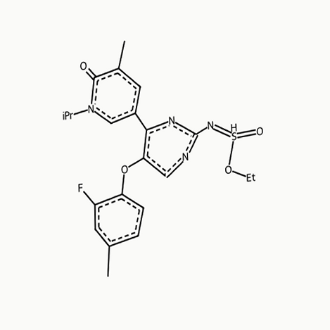 CCO[SH](=O)=Nc1ncc(Oc2ccc(C)cc2F)c(-c2cc(C)c(=O)n(C(C)C)c2)n1